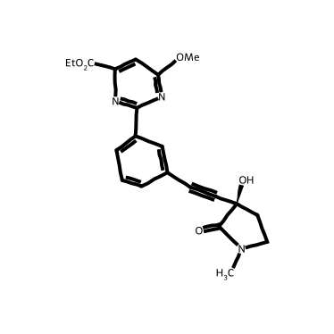 CCOC(=O)c1cc(OC)nc(-c2cccc(C#C[C@]3(O)CCN(C)C3=O)c2)n1